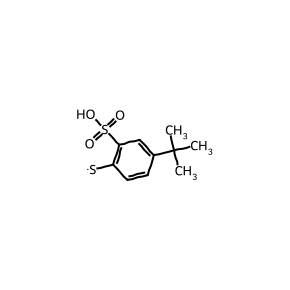 CC(C)(C)c1ccc([S])c(S(=O)(=O)O)c1